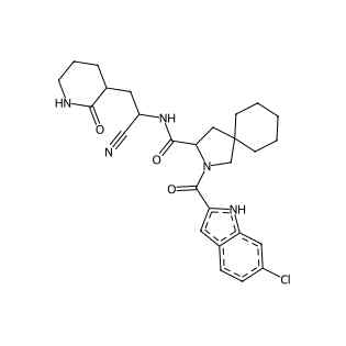 N#CC(CC1CCCNC1=O)NC(=O)C1CC2(CCCCC2)CN1C(=O)c1cc2ccc(Cl)cc2[nH]1